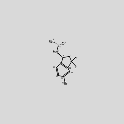 CC1(C)C[C@H](N[S@@+]([O-])C(C)(C)C)c2ccc(Br)cc21